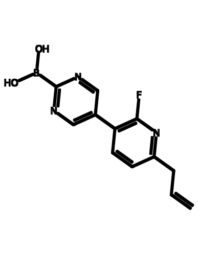 C=CCc1ccc(-c2cnc(B(O)O)nc2)c(F)n1